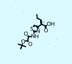 CC/C=C(/C(=O)O)c1csc(NC(=O)C(=O)OC(C)(C)C)n1